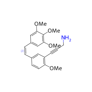 COc1ccc(/C=C\c2cc(OC)c(OC)c(OC)c2)cc1C#CCN